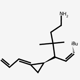 C=C/C=C1\C[C@@H]1C(/C=C\[C@@H](C)CC)C(C)(C)CCN